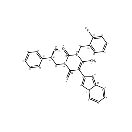 Cc1c(-c2cn3ccccc3n2)c(=O)n(C[C@H](N)c2ccccc2)c(=O)n1Cc1ccccc1F